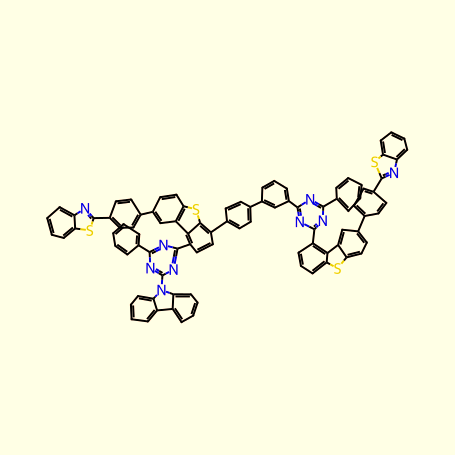 c1ccc(-c2nc(-c3cccc(-c4ccc(-c5ccc(-c6nc(-c7ccccc7)nc(-n7c8ccccc8c8ccccc87)n6)c6c5sc5ccc(-c7ccc(-c8nc9ccccc9s8)cc7)cc56)cc4)c3)nc(-c3cccc4sc5ccc(-c6ccc(-c7nc8ccccc8s7)cc6)cc5c34)n2)cc1